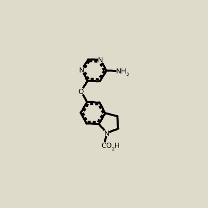 Nc1cc(Oc2ccc3c(c2)CCN3C(=O)O)ncn1